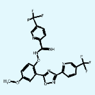 COc1ccc(ONC(=N)c2ccc(C(F)(F)F)cn2)c(-c2nc(-c3ccc(C(F)(F)F)cn3)no2)c1